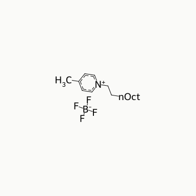 CCCCCCCCCC[n+]1ccc(C)cc1.F[B-](F)(F)F